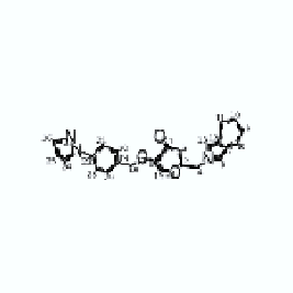 O=c1cc(Cn2cc3ccccc3c2)occ1OCc1ccc(-n2cccn2)cc1